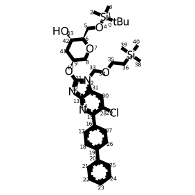 CC(C)(C)[Si](C)(C)OC[C@H]1OC[C@H](Oc2nc3nc(-c4ccc(-c5ccccc5)cc4)c(Cl)cc3n2COCC[Si](C)(C)C)C[C@@H]1O